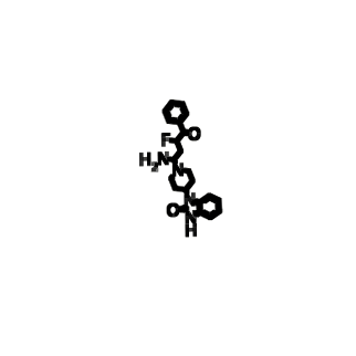 NC(CC(F)C(=O)c1ccccc1)N1CCC(n2c(=O)[nH]c3ccccc32)CC1